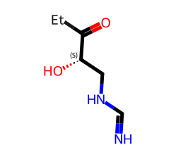 CCC(=O)[C@@H](O)CNC=N